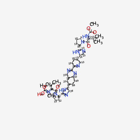 COC(=O)N[C@H](C(=O)N1CCC[C@H]1c1ncc(-c2ccc(-c3ncc4cc(-c5cnc([C@@H]6CCCN6C(=O)[C@H](C(C)C)N(C)C(=O)O)[nH]5)ccc4n3)nc2)[nH]1)C(C)C